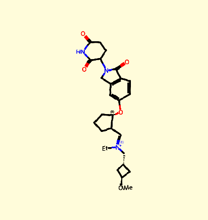 CC/[N+](=C\C1CCC[C@H]1Oc1ccc2c(c1)CN(C1CCC(=O)NC1=O)C2=O)C[C@H]1C[C@H](OC)C1